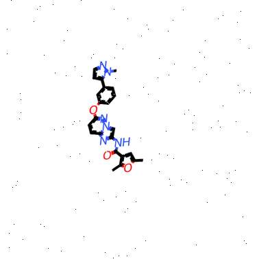 Cc1cc(C(=O)Nc2cn3nc(Oc4cccc(-c5ccnn5C)c4)ccc3n2)c(C)o1